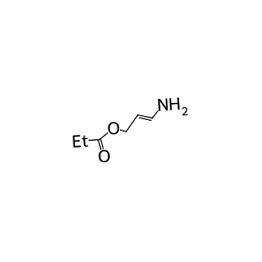 CCC(=O)OCC=CN